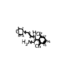 NCC(NCCN1CCOCC1)c1c(Cl)cccc1Cl